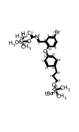 C=C(/N=C/c1cc(Br)ccc1Oc1ccc(CCCO[Si](C)(C)C(C)(C)C)cc1)O[Si](C)(C)C